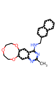 Cc1nc(NCc2ccc3ccccc3c2)c2cc3c(cc2n1)OCCOCCO3